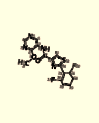 COc1ncncc1NC(=O)c1csc(C2=C(F)C=CCC2F)n1